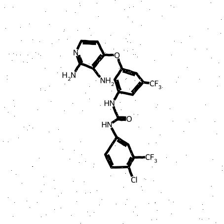 Nc1nccc(Oc2cc(NC(=O)Nc3ccc(Cl)c(C(F)(F)F)c3)cc(C(F)(F)F)c2)c1N